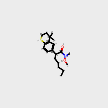 CCCCCC(C(=O)N(C)OC)c1ccc2c(c1)C(C)(C)CCS2